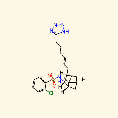 CC1(C)[C@H]2C[C@H](CC=CCCCc3nnn[nH]3)[C@@H](NS(=O)(=O)c3ccccc3Cl)[C@H]1C2